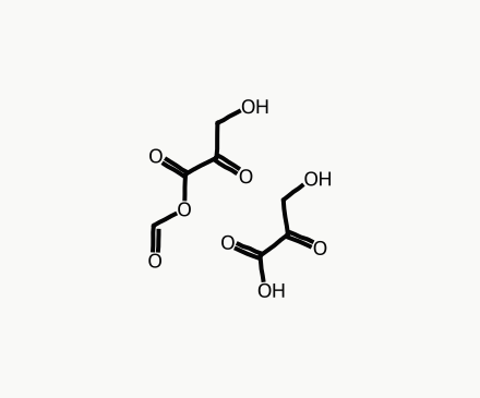 O=C(O)C(=O)CO.O=COC(=O)C(=O)CO